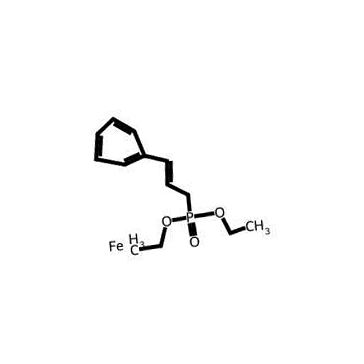 CCOP(=O)(C/C=C/c1ccccc1)OCC.[Fe]